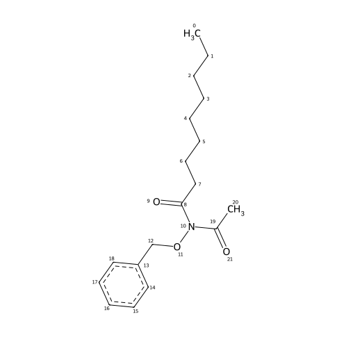 CCCCCCCCC(=O)N(OCc1ccccc1)C(C)=O